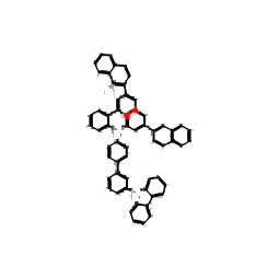 c1cc(-c2ccc3ccccc3c2)cc(N(c2ccc(-c3cccc(-n4c5ccccc5c5ccccc54)c3)cc2)c2ccccc2-c2cccc3c2oc2c4ccccc4ccc32)c1